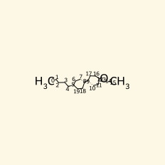 CCCCC[C@H]1CC[C@H]([C@H]2CC[C@H](OCC)CC2)CC1